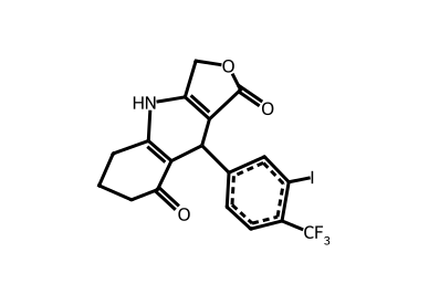 O=C1CCCC2=C1C(c1ccc(C(F)(F)F)c(I)c1)C1=C(COC1=O)N2